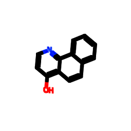 Oc1ccnc2c1ccc1ccccc12